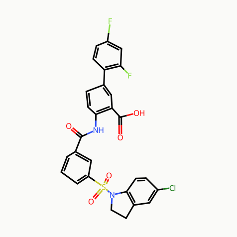 O=C(Nc1ccc(-c2ccc(F)cc2F)cc1C(=O)O)c1cccc(S(=O)(=O)N2CCc3cc(Cl)ccc32)c1